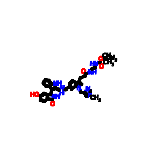 Cn1cnc(Cn2cc(CCC(=O)NCCNC(=O)OC(C)(C)C)c3ccc(CNCc4[nH]c5ccccc5c4C4NC(=O)c5ccc(O)cc54)cc32)c1